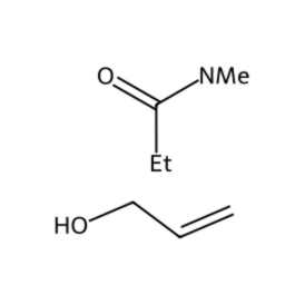 C=CCO.CCC(=O)NC